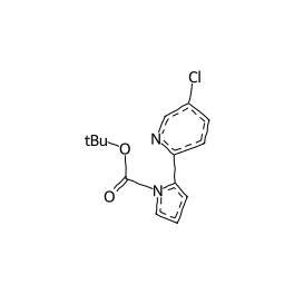 CC(C)(C)OC(=O)n1cccc1-c1ccc(Cl)cn1